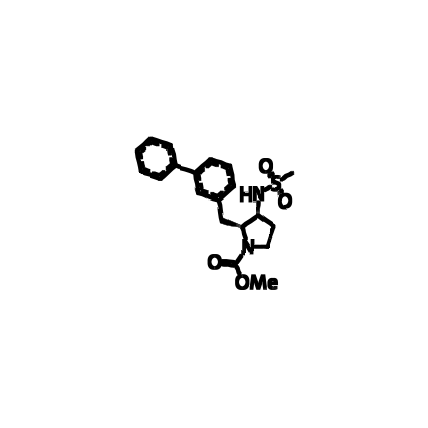 COC(=O)N1CC[C@H](NS(C)(=O)=O)[C@@H]1Cc1cccc(-c2ccccc2)c1